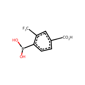 O=C(O)c1ccc(B(O)O)c(C(F)(F)F)c1